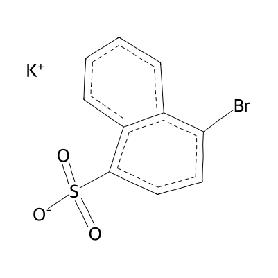 O=S(=O)([O-])c1ccc(Br)c2ccccc12.[K+]